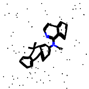 CC(C)N(c1ccc2c(c1)C(C)(C)c1ccccc1-2)c1nccc2ccccc12